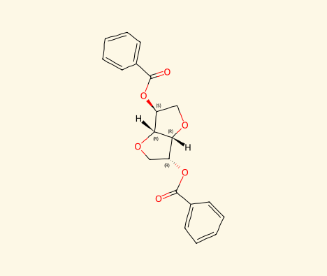 O=C(O[C@H]1CO[C@H]2[C@@H]1OC[C@H]2OC(=O)c1ccccc1)c1ccccc1